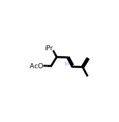 C=C(C)/C=C/C(COC(C)=O)C(C)C